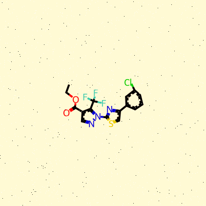 CCOC(=O)c1cnn(-c2nc(-c3cccc(Cl)c3)cs2)c1C(F)(F)F